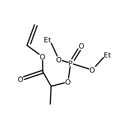 C=COC(=O)C(C)OP(=O)(OCC)OCC